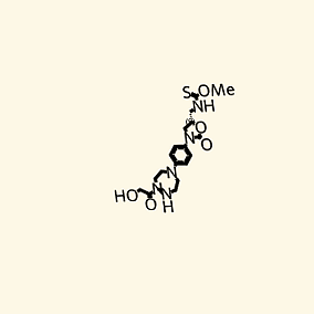 COC(=S)NC[C@H]1CN(c2ccc(N3CCNN(C(=O)CO)CC3)cc2)C(=O)O1